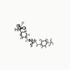 CC(C)(C)c1ccc(CCC(=S)NCc2ccc(NS(C)(=O)=O)cc2)cc1